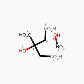 O=C(O)CC(O)(CC(=O)O)C(=O)O.O=[N+]([O-])O